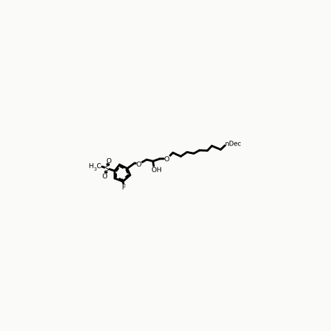 CCCCCCCCCCCCCCCCCCOCC(O)COCc1cc(F)cc(S(C)(=O)=O)c1